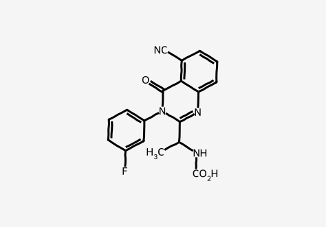 CC(NC(=O)O)c1nc2cccc(C#N)c2c(=O)n1-c1cccc(F)c1